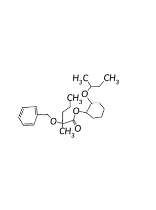 CCCC(C)(OCc1ccccc1)C(=O)OC1CCCCC1OC(C)CC